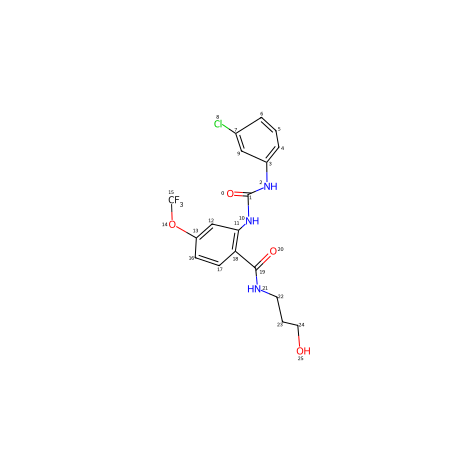 O=C(Nc1cccc(Cl)c1)Nc1cc(OC(F)(F)F)ccc1C(=O)NCCCO